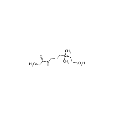 C=CC(=O)NCCC[N+](C)(C)CCS(=O)(=O)O